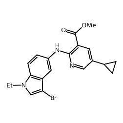 CCn1cc(Br)c2cc(Nc3ncc(C4CC4)cc3C(=O)OC)ccc21